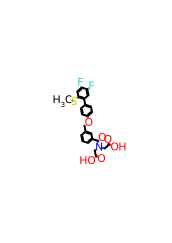 CSc1cc(F)c(F)cc1-c1ccc(OCc2cccc(C(=O)N(CC(=O)O)CC(=O)O)c2)cc1